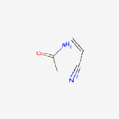 C=CC#N.CC(N)=O